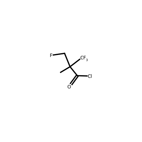 CC(CF)(C(=O)Cl)C(F)(F)F